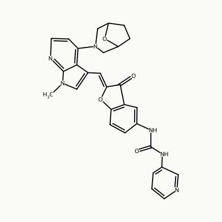 Cn1cc(C=C2Oc3ccc(NC(=O)Nc4cccnc4)cc3C2=O)c2c(N3CC4CCC(C3)O4)ccnc21